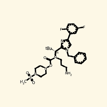 CC(C)(C)[C@H](c1nc(-c2cc(F)ccc2F)cn1Cc1ccccc1)N(CCCN)C(=O)ON1CCN(S(C)(=O)=O)CC1